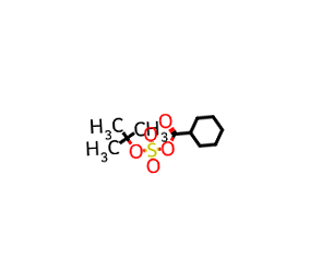 CC(C)(C)OS(=O)(=O)OC(=O)C1CCCCC1